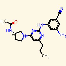 CCCc1cc(N2CC[C@H](NC(C)=O)C2)nc(Nc2cc(N)cc(C#N)c2)n1